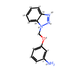 Nc1cccc(OCn2nnc3ccccc32)c1